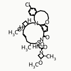 CO[C@H]1/C=C/C[C@H](C)CS(=O)(NC(=O)N2C[C@@H](OC)[C@@H]2C)=NC(=O)c2ccc3c(c2)N(Cc2ccc(Cl)cc2CCCCO3)C[C@@H]2CC[C@H]21